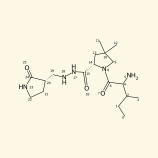 CCC(C)C(N)C(=O)N1CC(C)(C)C[C@H]1C(=O)NNC[C@@H]1CCNC1=O